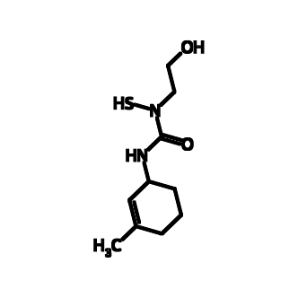 CC1=CC(NC(=O)N(S)CCO)CCC1